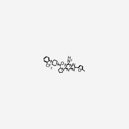 Cc1ccc(-c2nc3nc(N4CCC[C@H]4C(=O)N4CCN(c5ccccc5C(F)(F)F)CC4)nc(N)n3n2)o1